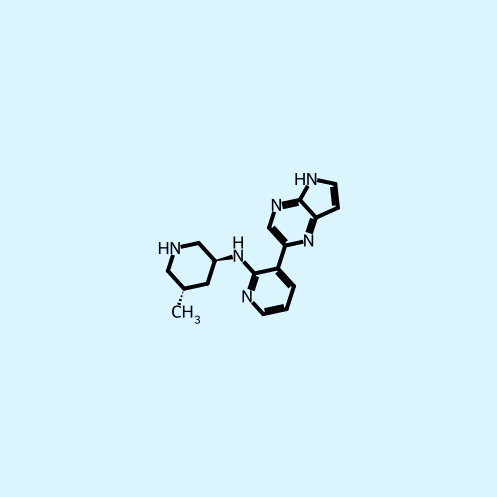 C[C@@H]1CNC[C@@H](Nc2ncccc2-c2cnc3[nH]ccc3n2)C1